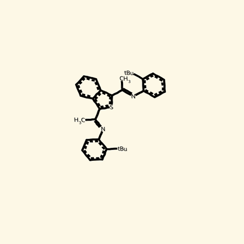 C/C(=N\c1ccccc1C(C)(C)C)c1sc(/C(C)=N/c2ccccc2C(C)(C)C)c2ccccc12